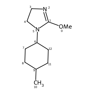 COC1=NCCN1C1CCC(C)CC1